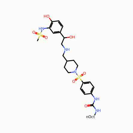 CCCCCCCCNC(=O)Nc1ccc(S(=O)(=O)N2CCC(CNCC(O)c3ccc(O)c(NS(C)(=O)=O)c3)CC2)cc1